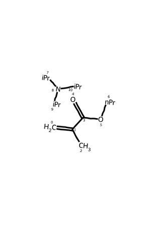 C=C(C)C(=O)OCCC.CC(C)N(C(C)C)C(C)C